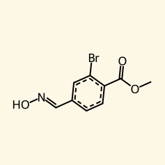 COC(=O)c1ccc(C=NO)cc1Br